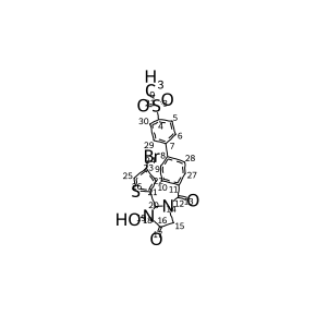 CS(=O)(=O)c1ccc(-c2ccc(C(=O)N3CC(=O)N(O)C3c3cc(Br)cs3)cc2)cc1